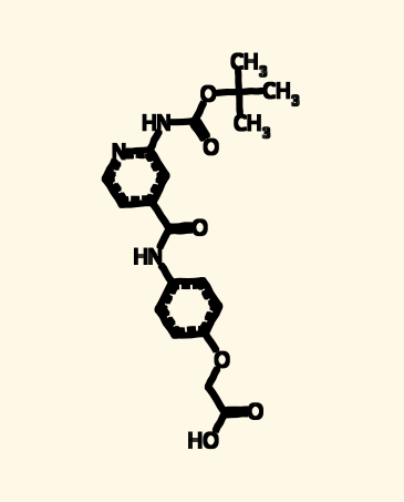 CC(C)(C)OC(=O)Nc1cc(C(=O)Nc2ccc(OCC(=O)O)cc2)ccn1